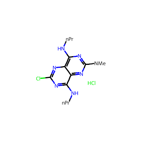 CCCNc1nc(NC)nc2c(NCCC)nc(Cl)nc12.Cl